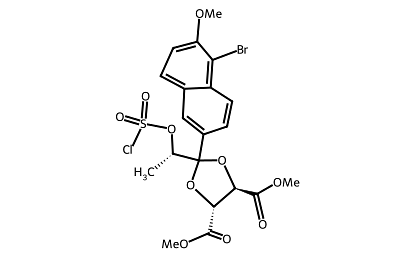 COC(=O)[C@@H]1OC(c2ccc3c(Br)c(OC)ccc3c2)([C@H](C)OS(=O)(=O)Cl)O[C@H]1C(=O)OC